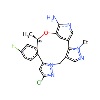 CCn1ncc2c1-c1cnc(N)c(c1)O[C@H](C)c1cc(F)ccc1-c1cc(Cl)nn1C2